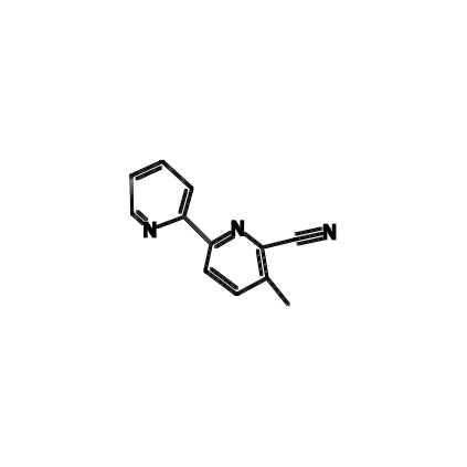 Cc1ccc(-c2ccccn2)nc1C#N